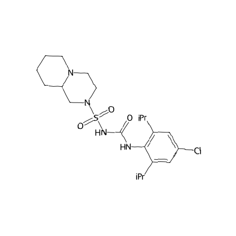 CC(C)c1cc(Cl)cc(C(C)C)c1NC(=O)NS(=O)(=O)N1CCN2CCCCC2C1